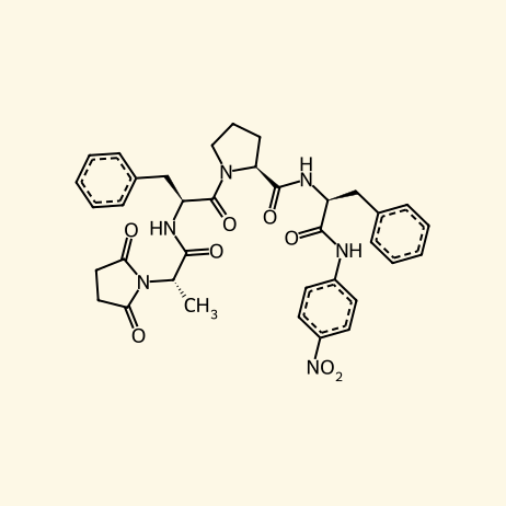 C[C@@H](C(=O)N[C@@H](Cc1ccccc1)C(=O)N1CCC[C@H]1C(=O)N[C@@H](Cc1ccccc1)C(=O)Nc1ccc([N+](=O)[O-])cc1)N1C(=O)CCC1=O